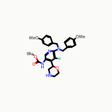 COc1ccc(CN(Cc2ccc(OC)cc2)c2ncc(NC(=O)OC(C)(C)C)c(C3CNCCO3)c2F)cc1